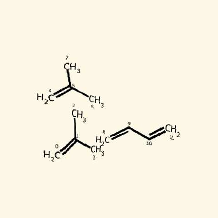 C=C(C)C.C=C(C)C.C=CC=C